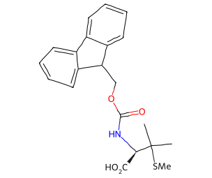 CSC(C)(C)[C@H](NC(=O)OCC1c2ccccc2-c2ccccc21)C(=O)O